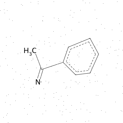 CC(=[N])c1ccccc1